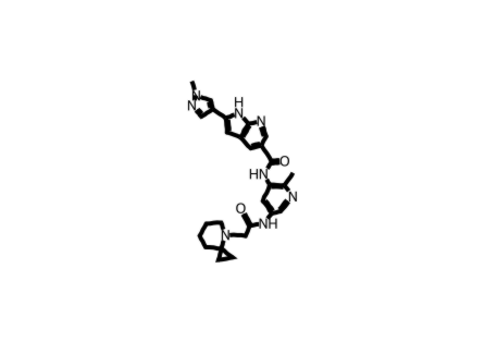 Cc1ncc(NC(=O)CN2CCCCC23CC3)cc1NC(=O)c1cnc2[nH]c(-c3cnn(C)c3)cc2c1